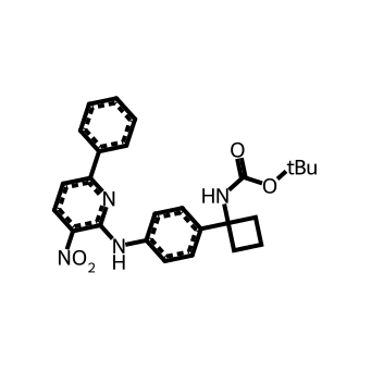 CC(C)(C)OC(=O)NC1(c2ccc(Nc3nc(-c4ccccc4)ccc3[N+](=O)[O-])cc2)CCC1